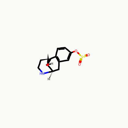 O=[SH](=O)Oc1ccc2c(c1)C[C@H]1NCC[C@@]23CCCC[C@@H]13